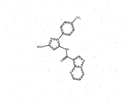 COc1cc(NC(=O)c2cnn3cccnc23)n(-c2ccc(C)cc2)n1